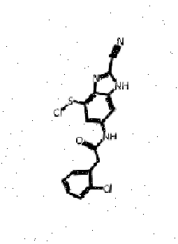 N#Cc1nc2c(SCl)cc(NC(=O)Cc3ccccc3Cl)cc2[nH]1